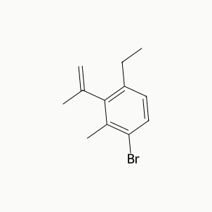 C=C(C)c1c(CC)ccc(Br)c1C